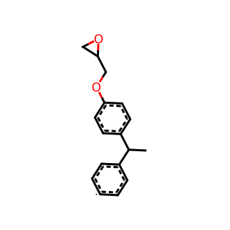 CC(c1cc[c]cc1)c1ccc(OCC2CO2)cc1